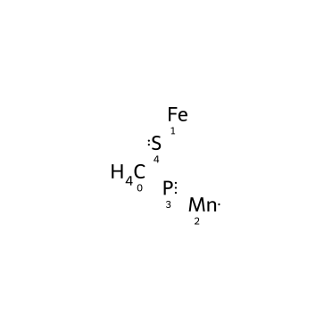 C.[Fe].[Mn].[P].[S]